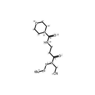 CC(C)(C)SSN(CC#N)C(=O)CCNC(=O)N1CCOCC1